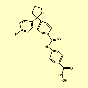 O=C(NO)c1ccc(NC(=O)c2ccc(C3(c4ccc(F)cc4)CCCO3)cc2)cc1